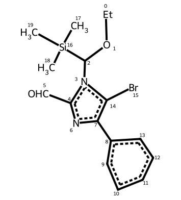 CCOC(n1c(C=O)nc(-c2ccccc2)c1Br)[Si](C)(C)C